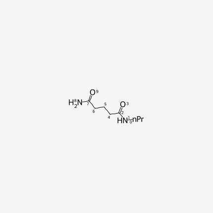 CCCNC(=O)CCCC(N)=O